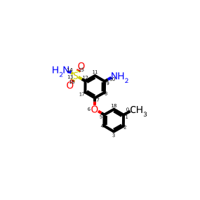 Cc1cccc(Oc2cc(N)cc(S(N)(=O)=O)c2)c1